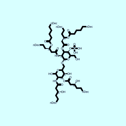 CCCCCCCCCCCCCCC(=O)O[C@H](CCCCCCCCCCCC)CC(=O)N[C@H]1C(OC(=O)C[C@@H](CCCCCCCCCCCC)OC(=O)CCCCCCCCCCCCCC)[C@H](OP(=O)(O)O)C(CO)O[C@H]1OCC1OC(O)C(NC(=O)C[C@H](O)CCCCCCCCCCCC)[C@@H](OC(=O)C[C@H](O)CCCCCCCCCCCC)[C@@H]1O